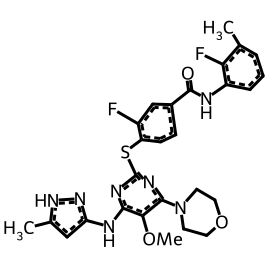 COc1c(Nc2cc(C)[nH]n2)nc(Sc2ccc(C(=O)Nc3cccc(C)c3F)cc2F)nc1N1CCOCC1